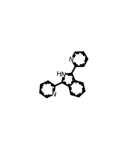 c1ccc(-c2[nH]c(-c3ccccn3)c3ccccc23)nc1